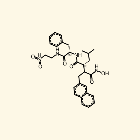 CC(C)C[C@@H](C(=O)N[C@@H](Cc1ccccc1)C(=O)NCC[SH](=O)=O)C(Cc1ccc2ccccc2c1)C(=O)NO